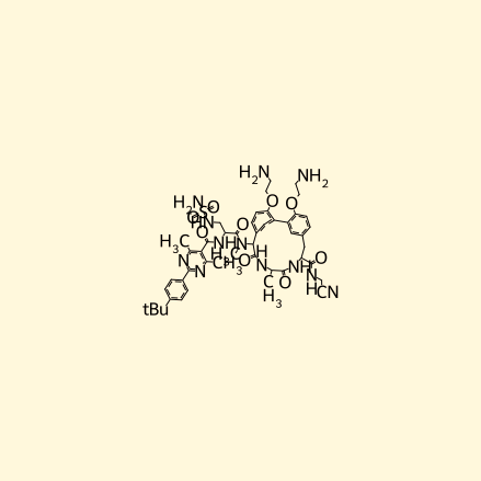 Cc1nc(-c2ccc(C(C)(C)C)cc2)nc(C)c1C(=O)NC(CNS(N)(=O)=O)C(=O)N(C)C1C(=O)NC(C)C(=O)NC(C(=O)NCC#N)Cc2ccc(OCCN)c(c2)-c2cc1ccc2OCCN